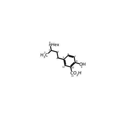 CCCCCCC(C)CCc1ccc(O)c(C(=O)O)c1